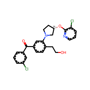 O=C(c1cccc(Cl)c1)c1ccc(CCO)c(N2CC[C@H](Oc3ncccc3Cl)C2)c1